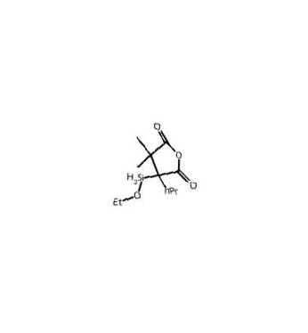 CCCC1([SiH2]OCC)C(=O)OC(=O)C1(C)C